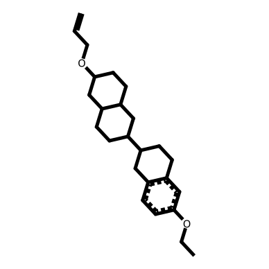 C=CCOC1CCC2CC(C3CCc4cc(OCC)ccc4C3)CCC2C1